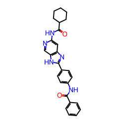 O=C(Nc1ccc(-c2nc3cc(NC(=O)C4CCCCC4)ncc3[nH]2)cc1)c1ccccc1